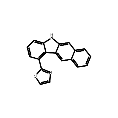 c1ccc2cc3c(cc2c1)[nH]c1cccc(-c2ncco2)c13